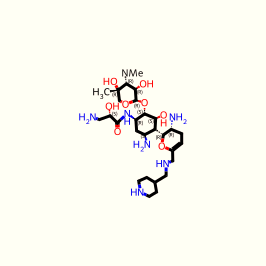 CN[C@@H]1[C@@H](O)[C@@H](O[C@H]2[C@H](NC(=O)[C@@H](O)CN)C[C@H](N)C([C@H]3OC(CNCC4CCNCC4)=CC[C@H]3N)[C@@H]2O)OC[C@]1(C)O